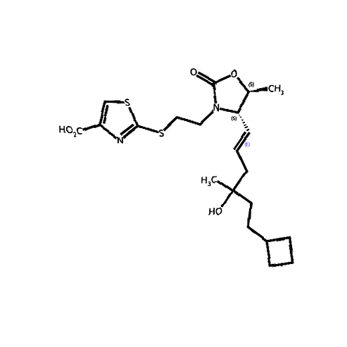 C[C@@H]1OC(=O)N(CCSc2nc(C(=O)O)cs2)[C@H]1/C=C/CC(C)(O)CCC1CCC1